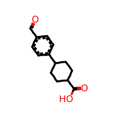 O=Cc1ccc(C2CCC(C(=O)O)CC2)cc1